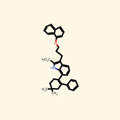 CC1(C)CCC(c2cccc3c(CCCOc4cccc5ccccc45)c(C(=O)O)[nH]c23)=C(c2ccccc2)C1